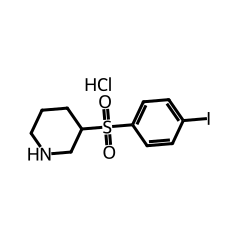 Cl.O=S(=O)(c1ccc(I)cc1)C1CCCNC1